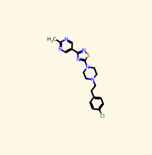 Cc1ncc(-c2nsc(N3CCN(CCc4ccc(Cl)cc4)CC3)n2)cn1